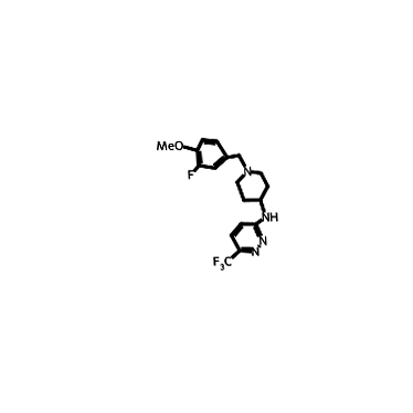 COc1ccc(CN2CCC(Nc3ccc(C(F)(F)F)nn3)CC2)cc1F